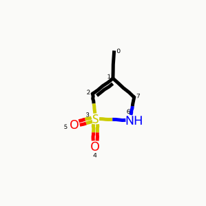 CC1=CS(=O)(=O)NC1